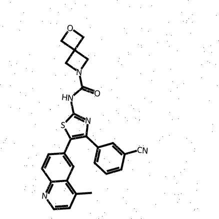 Cc1ccnc2ccc(-c3sc(NC(=O)N4CC5(COC5)C4)nc3-c3cccc(C#N)c3)cc12